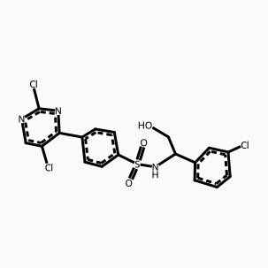 O=S(=O)(NC(CO)c1cccc(Cl)c1)c1ccc(-c2nc(Cl)ncc2Cl)cc1